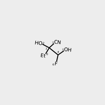 CCC(O)(C#N)C(O)F